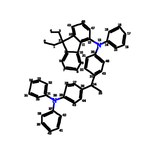 CCC1(CC)c2ccccc2-c2c(N(c3ccccc3)c3ccc(C(C)c4ccc(N(c5ccccc5)c5ccccc5)cc4)cc3)cccc21